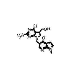 Cn1ccc2c(Cl)c(CN3CC(CO)c4c(Cl)nc(N)nc43)cnc21